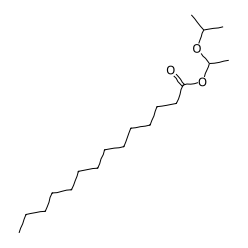 CCCCCCCCCCCCCC(=O)OC(C)OC(C)C